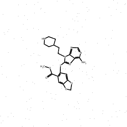 COC(=O)c1cc2c(cc1Sc1nc3c(N)ncnc3n1CCC1CCNCC1)OCO2